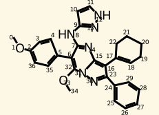 COc1ccc(-c2c(Nc3cc[nH]n3)nc3c(C4=CCCCC4)c(-c4ccccc4)nn3c2OC)cc1